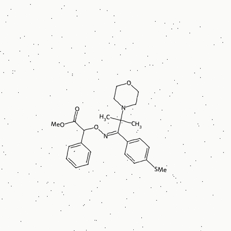 COC(=O)C(ON=C(c1ccc(SC)cc1)C(C)(C)N1CCOCC1)c1ccccc1